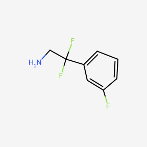 NCC(F)(F)c1cccc(F)c1